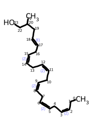 CC/C=C\C/C=C\C/C=C\C/C=C\C/C=C\C/C=C/CC(C)CO